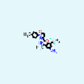 CC1CC=C(n2nc(C(=O)N[C@H](C)c3cc(N)cc(C(C)(F)F)c3)ccc2=O)CC1